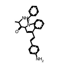 CC(N)C(=O)C1C=C(C=Cc2ccc(N)cc2)c2ccccc2N1Cc1ccccc1